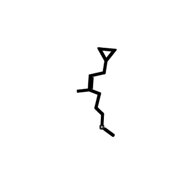 COCCCC(C)=CCC1CC1